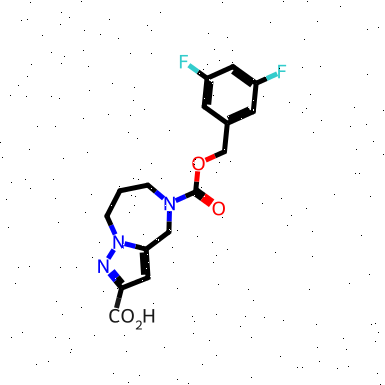 O=C(O)c1cc2n(n1)CCCN(C(=O)OCc1cc(F)cc(F)c1)C2